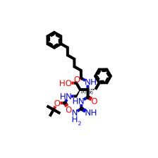 CC(C)(C)OC(=O)NC[C@@H](CO)[C@@](Cc1ccccc1)(NC(=O)CCCCCc1ccccc1)C(=O)NC(=N)N